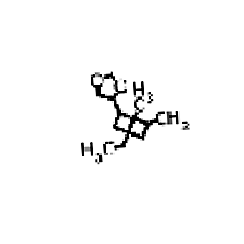 CCC12CC(C)C1(C)C(C1COCO1)C2